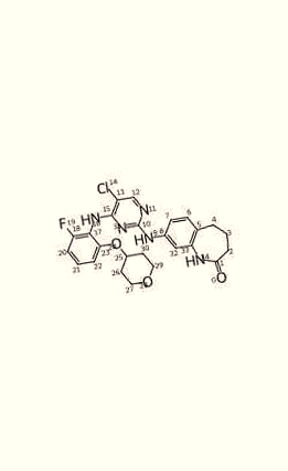 O=C1CCCc2ccc(Nc3ncc(Cl)c(Nc4c(F)cccc4OC4CCOCC4)n3)cc2N1